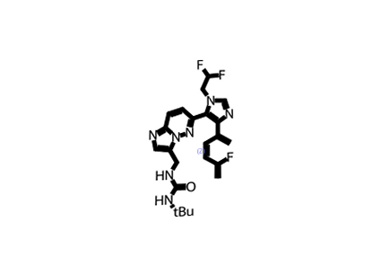 C=C(F)/C=C\C(=C)c1ncn(CC(F)F)c1-c1ccc2ncc(CNC(=O)NC(C)(C)C)n2n1